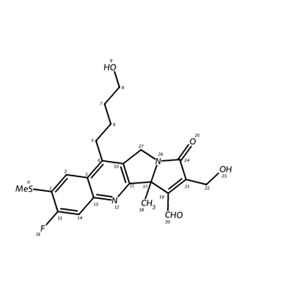 CSc1cc2c(CCCCO)c3c(nc2cc1F)C1(C)C(C=O)=C(CO)C(=O)N1C3